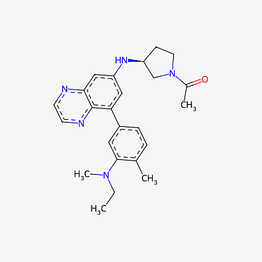 CCN(C)c1cc(-c2cc(N[C@H]3CCN(C(C)=O)C3)cc3nccnc23)ccc1C